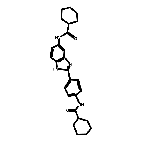 O=C(Nc1ccc(-c2nc3cc(NC(=O)C4CCCCC4)ccc3[nH]2)cc1)C1CCCCC1